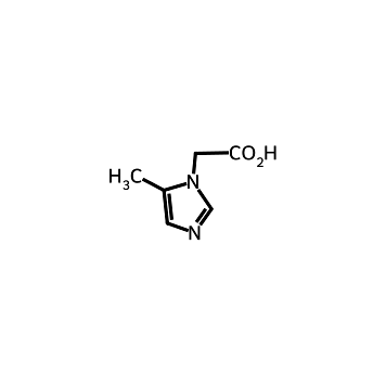 Cc1cncn1CC(=O)O